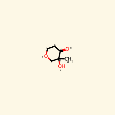 CC1(O)COCCC1=O